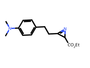 CCOC(=O)C1N=C1CCc1ccc(N(C)C)cc1